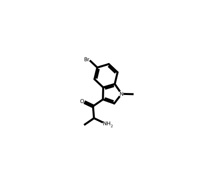 CC(N)C(=O)c1cn(C)c2ccc(Br)cc12